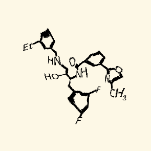 CCc1cccc(CNC[C@H](O)[C@H](Cc2cc(F)cc(F)c2)NC(=O)c2cccc(-c3nc(C)co3)c2)c1